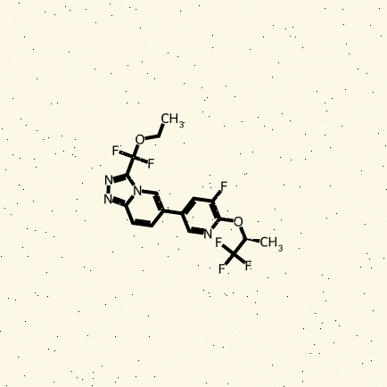 CCOC(F)(F)c1nnc2ccc(-c3cnc(O[C@@H](C)C(F)(F)F)c(F)c3)cn12